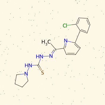 CC(=NNC(=S)NN1CCCC1)c1cccc(-c2ccccc2Cl)n1